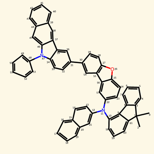 CC1(C)c2ccccc2-c2c(N(c3ccc4ccccc4c3)c3ccc4oc5ccc(-c6ccc7c(c6)c6cc8ccccc8cc6n7-c6ccccc6)cc5c4c3)cccc21